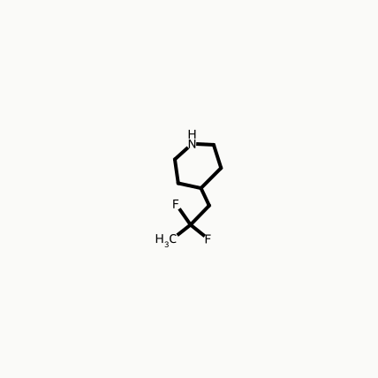 CC(F)(F)CC1CCNCC1